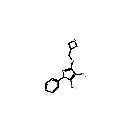 Cc1c(OCC2COC2)nn(-c2ccccc2)c1N